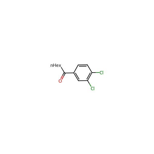 CCCCCCC(=O)c1ccc(Cl)c(Cl)c1